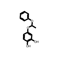 CC(Oc1ccccc1)Oc1ccc(O)c(O)c1